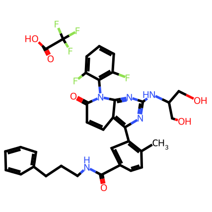 Cc1ccc(C(=O)NCCCc2ccccc2)cc1-c1nc(NC(CO)CO)nc2c1ccc(=O)n2-c1c(F)cccc1F.O=C(O)C(F)(F)F